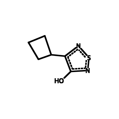 Oc1nsnc1C1CCC1